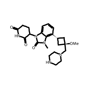 CO[C@]1(CN2CCNCC2)C[C@@H](c2cccc3c2n(C)c(=O)n3C2CCC(=O)NC2=O)C1